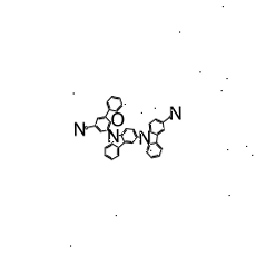 N#Cc1cc(-n2c3ccccc3c3cc(-n4c5ccccc5c5cc(C#N)ccc54)ccc32)c2oc3ccccc3c2c1